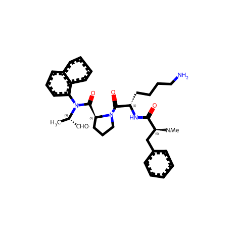 CN[C@@H](Cc1ccccc1)C(=O)N[C@@H](CCCCN)C(=O)N1CCC[C@H]1C(=O)N(c1cccc2ccccc12)[C@@H](C)[C]=O